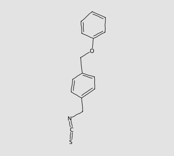 S=C=NCc1ccc(COc2ccccc2)cc1